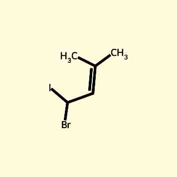 CC(C)=CC(Br)I